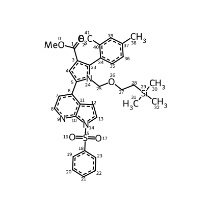 COC(=O)c1cc(-c2ccnc3c2ccn3S(=O)(=O)c2ccccc2)n(COCC[Si](C)(C)C)c1-c1ccc(C)cc1C(F)(F)F